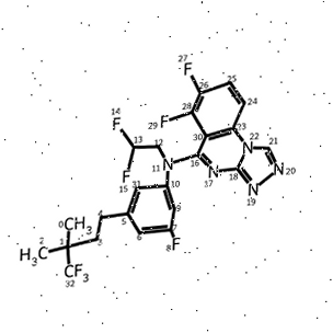 CC(C)(CCc1cc(F)cc(N(CC(F)F)c2nc3nncn3c3ccc(F)c(F)c23)c1)C(F)(F)F